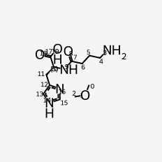 COC.NCCCC(=O)N[C@@H](Cc1c[nH]cn1)C(=O)O